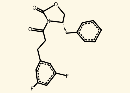 O=C(CCc1cc(F)cc(F)c1)N1C(=O)OC[C@@H]1Cc1ccccc1